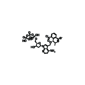 CC(C)[C@H](OCc1cn([C@H]2C[C@@H](O)[C@@H](COP(=O)(O)OP(=O)(O)OP(=O)(O)O)O2)c2nccc(N)c12)c1c([N+](=O)[O-])cccc1[N+](=O)[O-]